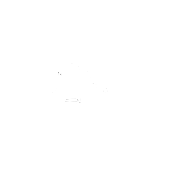 O=c1ccnccn1